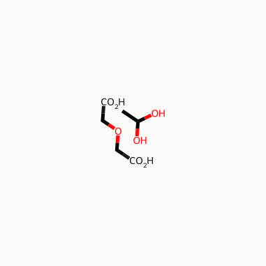 CC(O)O.O=C(O)COCC(=O)O